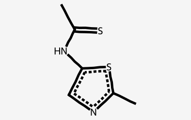 CC(=S)Nc1cnc(C)s1